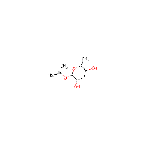 CCCC[C@@H](C)OC1OC(C)C(O)CC1O